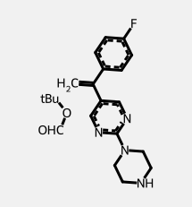 C=C(c1ccc(F)cc1)c1cnc(N2CCNCC2)nc1.CC(C)(C)OC=O